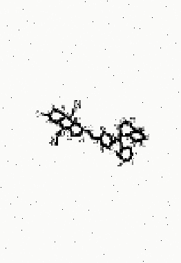 Cc1ccc2c(C#N)c3cc(C=Cc4ccc(N(c5ccccc5)c5cccc6ccccc56)cc4)ccc3c(C#N)c2c1